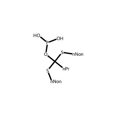 CCCCCCCCCSC(CCC)(OP(O)O)SCCCCCCCCC